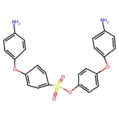 Nc1ccc(Oc2ccc(OS(=O)(=O)c3ccc(Oc4ccc(N)cc4)cc3)cc2)cc1